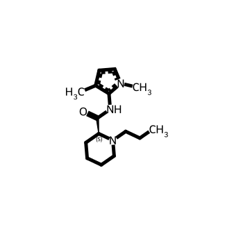 CCCN1CCCC[C@H]1C(=O)Nc1c(C)ccn1C